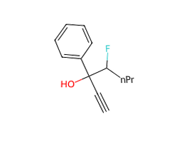 C#CC(O)(c1ccccc1)C(F)CCC